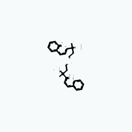 CC(Cl)(CCSCCC(C)(Cl)c1ccc2ccccc2n1)c1ccc2ccccc2n1